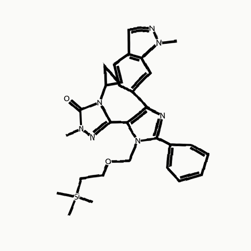 Cn1nc(-c2c(-c3ccc4cnn(C)c4c3)nc(-c3ccccc3)n2COCC[Si](C)(C)C)n(C2CC2)c1=O